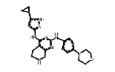 c1cc(N2CCOCC2)ccc1Nc1nc2c(c(Nc3cc(C4CC4)[nH]n3)n1)CCNC2